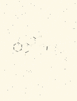 COC(=O)c1cccc(O)c1/C=N/[C@@H](CCC(=O)OC(C)(C)C)C(N)=O